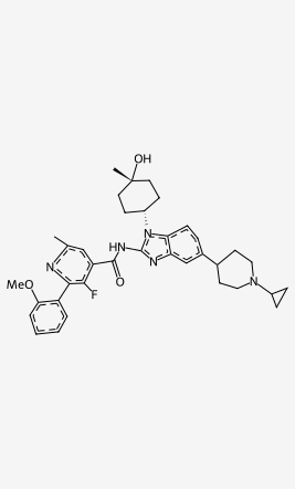 COc1ccccc1-c1nc(C)cc(C(=O)Nc2nc3cc(C4CCN(C5CC5)CC4)ccc3n2[C@H]2CC[C@@](C)(O)CC2)c1F